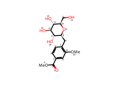 COC(=O)c1ccc(C[C@@H]2O[C@H](CO)[C@@H](O)[C@H](O)[C@H]2O)c(OC)c1